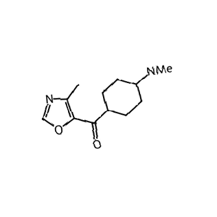 CNC1CCC(C(=O)c2ocnc2C)CC1